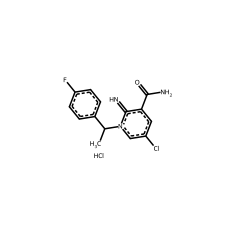 CC(c1ccc(F)cc1)n1cc(Cl)cc(C(N)=O)c1=N.Cl